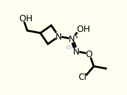 CC(Cl)O/N=[N+](\O)N1CC(CO)C1